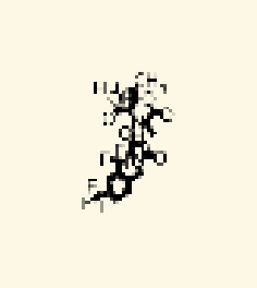 CC(C)CC(NC(CN1C(=O)CN(Cc2ccc(C(F)(F)F)cc2C(F)(F)F)C1=O)C(=O)O)C(=O)O